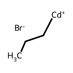 CC[CH2][Cd+].[Br-]